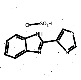 O=S(=O)(O)Cl.c1ccc2[nH]c(-c3cscn3)nc2c1